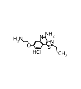 CCCc1nc2c(N)nc3cc(OCCN)ccc3c2s1.Cl